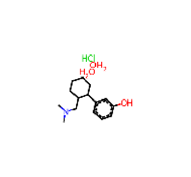 CN(C)CC1CCCCC1c1cccc(O)c1.Cl.O.O